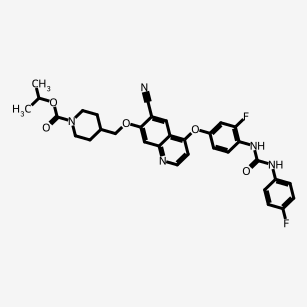 CC(C)OC(=O)N1CCC(COc2cc3nccc(Oc4ccc(NC(=O)Nc5ccc(F)cc5)c(F)c4)c3cc2C#N)CC1